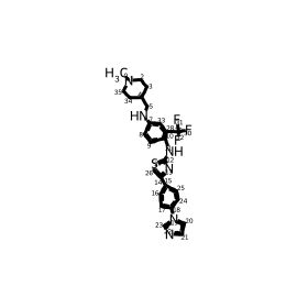 CN1CCC(CNc2ccc(Nc3nc(-c4ccc(-n5ccnc5)cc4)cs3)c(C(F)(F)F)c2)CC1